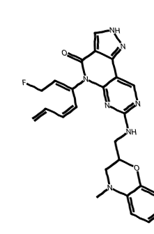 C=C/C=C\C(=C/CF)n1c(=O)c2c[nH]nc2c2cnc(NCC3CN(C)c4ccccc4O3)nc21